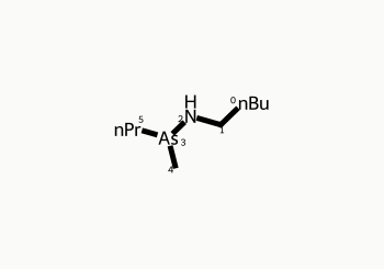 CCCCCN[As](C)CCC